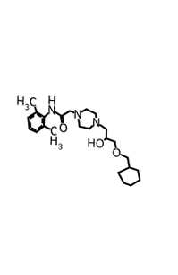 Cc1cccc(C)c1NC(=O)CN1CCN(CC(O)COCC2CCCCC2)CC1